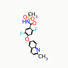 Cc1ccc2cc(Oc3cc(F)c(C(=O)NS(C)(=O)=O)cc3F)ccc2n1